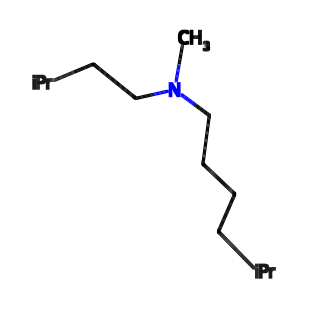 CC(C)CCCCN(C)CCC(C)C